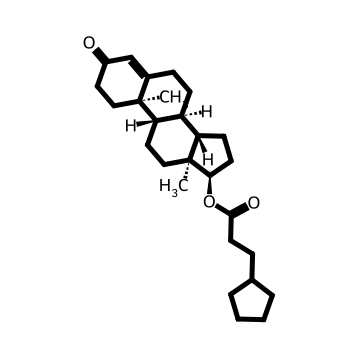 C[C@]12CC[C@H]3[C@@H](CCC4=CC(=O)CC[C@@]43C)[C@@H]1CC[C@H]2OC(=O)CCC1CCCC1